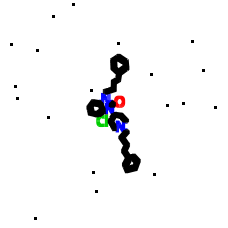 O=c1n(CCCCc2ccccc2)c2cccc(Cl)c2n1C1CCN(CCCCc2ccccc2)CC1